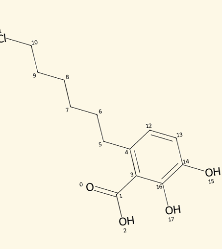 O=C(O)c1c(CCCCCCCl)ccc(O)c1O